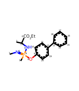 CCOC(=O)C(C)NP(C)(=NC)Oc1ccc(-c2ccccc2)cc1